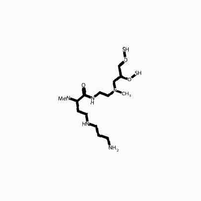 CNC(CCNCCCN)C(=O)NCCN(C)CC(COS)OS